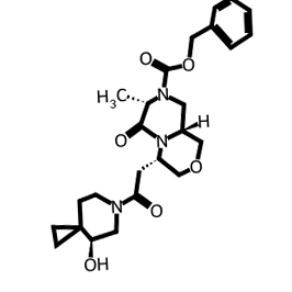 C[C@H]1C(=O)N2[C@@H](CC(=O)N3CCC4(CC4)[C@H](O)C3)COC[C@H]2CN1C(=O)OCc1ccccc1